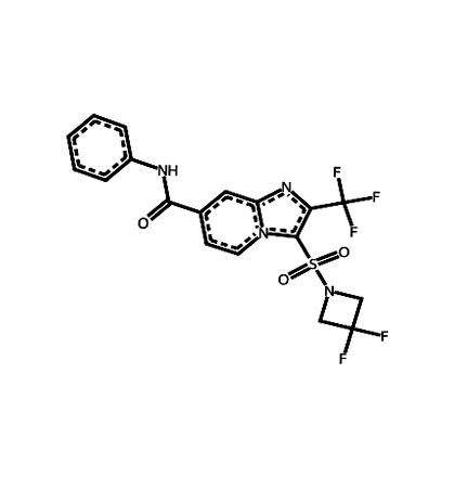 O=C(Nc1ccccc1)c1ccn2c(S(=O)(=O)N3CC(F)(F)C3)c(C(F)(F)F)nc2c1